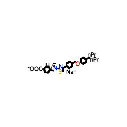 CCCC(CCC)c1ccc(OCc2ccc(-c3csc(N(C)Cc4ccc(C(=O)[O-])cc4)n3)cc2)cc1.[Na+]